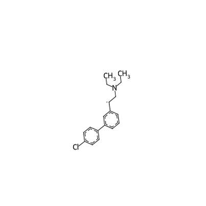 CCN(CC)C[CH]c1cccc(-c2ccc(Cl)cc2)c1